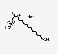 C=C(COP(=O)([O-])O)[S+]([O-])CCCCCCCCCCCC.[Na+]